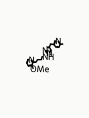 COc1cccnc1CCCCNc1ncc(Cc2ccc(C)nc2)cn1